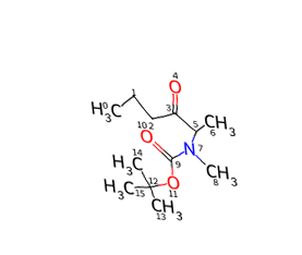 CCCC(=O)C(C)N(C)C(=O)OC(C)(C)C